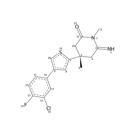 CN1C(=N)C[C@](C)(c2cc(-c3ccc(F)c(Cl)c3)cs2)CC1=O